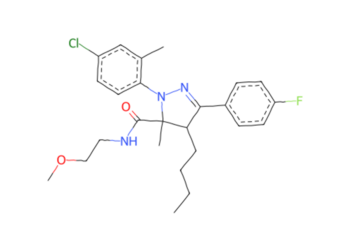 CCCCC1C(c2ccc(F)cc2)=NN(c2ccc(Cl)cc2C)C1(C)C(=O)NCCOC